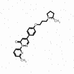 Cc1cccc(-n2ncc(-c3ccc(OCCCN4CCC[C@H]4C)cc3)cc2=O)n1